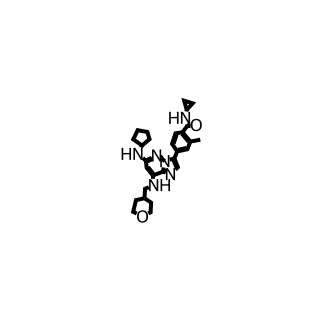 Cc1cc(-c2cnc3c(NCC4CCOCC4)cc(NC4CCCC4)nn23)ccc1C(=O)NC1CC1